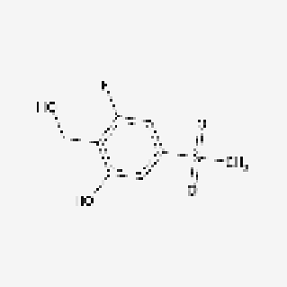 CS(=O)(=O)c1cc(O)c(CO)c(F)c1